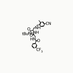 Cc1cc(C#N)ccc1CNCC(NC(=O)CNC(=O)c1cccc(C(F)(F)F)c1)C(=O)NC(C)(C)C